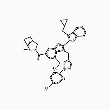 COc1cc(C(=O)N2CC3CC4CC2[C@H]43)cc2nc(-c3cc4ccccc4n3CC3CC3)n(Cc3cnn(-c4ccc(C)cn4)c3)c12